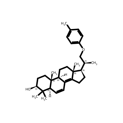 Cc1ccc(OC[C@@H](C)[C@H]2CCC3=C4C=C[C@H]5C(C)(C)[C@@H](O)CC[C@]5(C)[C@H]4CC[C@@]32C)cc1